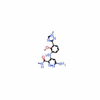 CNC(=O)c1nnc(N)cc1Nc1cccc(-c2ncn(C)n2)c1OC